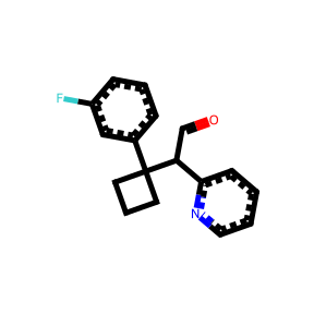 O=CC(c1ccccn1)C1(c2cccc(F)c2)CCC1